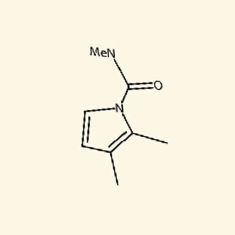 CNC(=O)n1ccc(C)c1C